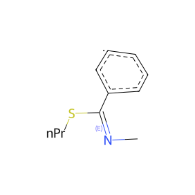 CCCS/C(=N/C)c1c[c]ccc1